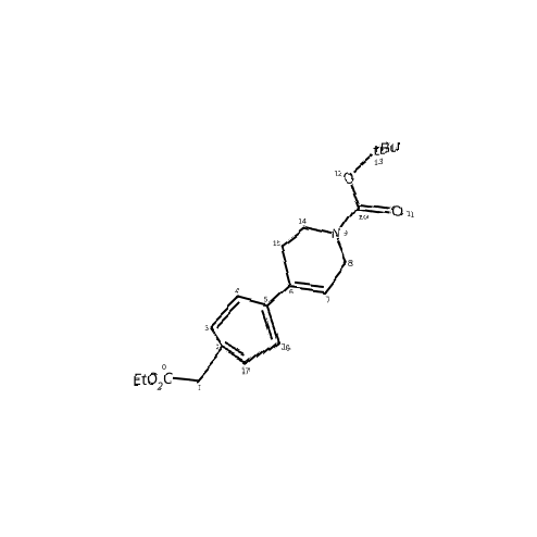 CCOC(=O)Cc1ccc(C2=CCN(C(=O)OC(C)(C)C)CC2)cc1